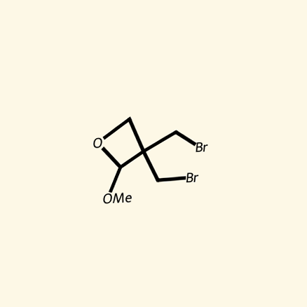 COC1OCC1(CBr)CBr